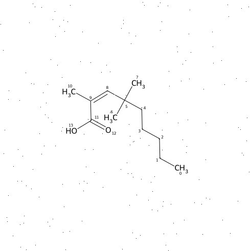 CCCC[CH]C(C)(C)C=C(C)C(=O)O